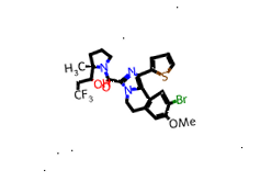 COc1cc2c(cc1Br)-c1c(-c3cccs3)nc(C(=O)N3CCC[C@@]3(C)[C@@H](O)CC(F)(F)F)n1CC2